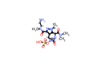 CN(C)C(=O)C1c2c(c(C(=O)N(C)CCN)nn2C)C2CN1C(=O)N2OS(=O)(=O)O